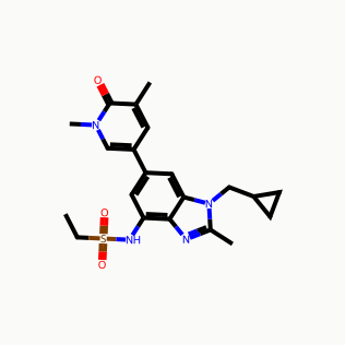 CCS(=O)(=O)Nc1cc(-c2cc(C)c(=O)n(C)c2)cc2c1nc(C)n2CC1CC1